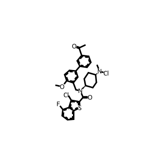 COc1ccc(-c2cccc(C(C)=O)c2)cc1CN(C(=O)c1sc2cccc(F)c2c1Cl)[C@H]1CC[C@H](N(C)Cl)CC1